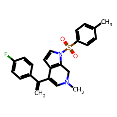 C=C(C1=CN(C)Cc2c1ccn2S(=O)(=O)c1ccc(C)cc1)c1ccc(F)cc1